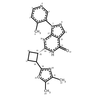 Cc1ccncc1-n1ncc2c(=O)[nH]c([C@H]3CCC3c3nc(C)c(C)o3)nc21